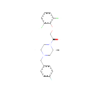 C[C@@H]1CN(C(=O)COc2c(Cl)cccc2Cl)[C@@H](C)CN1Cc1ccc(F)cc1